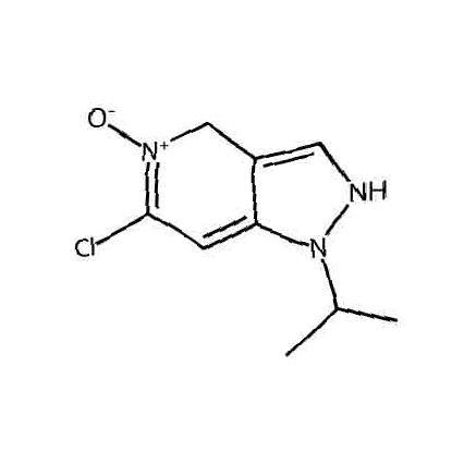 CC(C)N1NC=C2C[N+]([O-])=C(Cl)C=C21